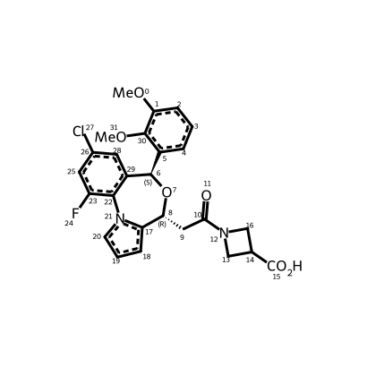 COc1cccc([C@H]2O[C@H](CC(=O)N3CC(C(=O)O)C3)c3cccn3-c3c(F)cc(Cl)cc32)c1OC